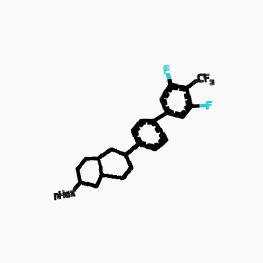 CCCCCCC1CCC2CC(c3ccc(-c4cc(F)c(C(F)(F)F)c(F)c4)cc3)CCC2C1